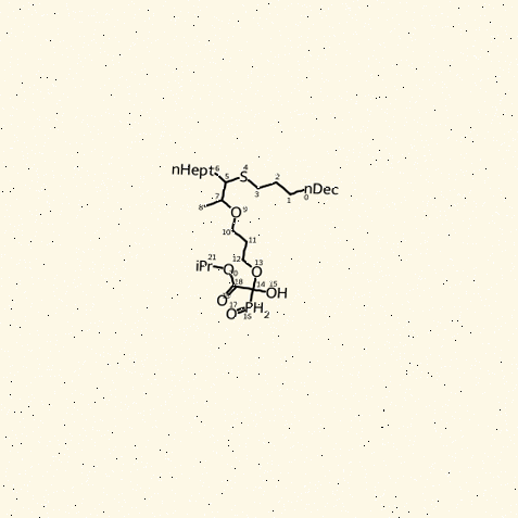 CCCCCCCCCCCCCSC(CCCCCCC)C(C)OCCCOC(O)([PH2]=O)C(=O)OC(C)C